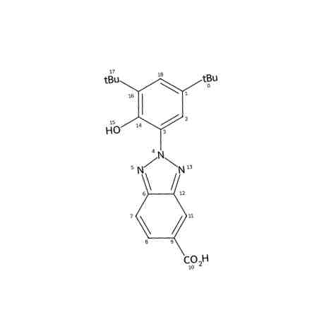 CC(C)(C)c1cc(-n2nc3ccc(C(=O)O)cc3n2)c(O)c(C(C)(C)C)c1